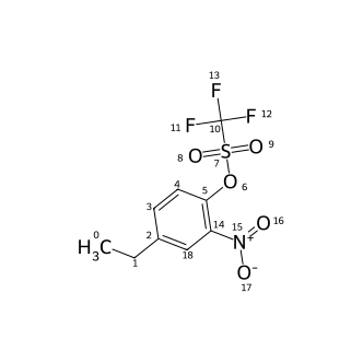 CCc1ccc(OS(=O)(=O)C(F)(F)F)c([N+](=O)[O-])c1